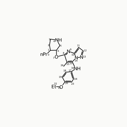 CCCC1CCNCC1Oc1nc2ccnn2c(Nc2ccc(OCC)cc2)c1C